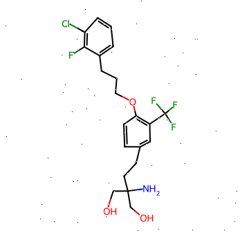 NC(CO)(CO)CCc1ccc(OCCCc2cccc(Cl)c2F)c(C(F)(F)F)c1